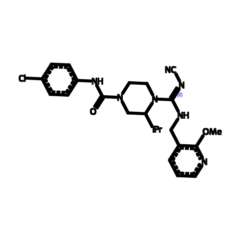 COc1ncccc1CN/C(=N/C#N)N1CCN(C(=O)Nc2ccc(Cl)cc2)CC1C(C)C